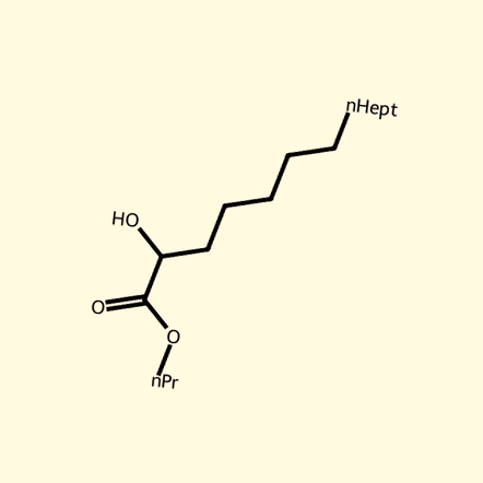 CCCCCCCCCCCCC(O)C(=O)OCCC